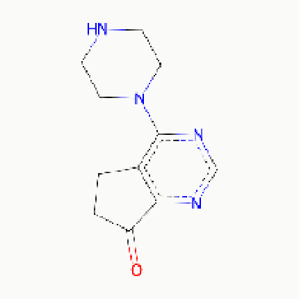 O=C1CCc2c1ncnc2N1CCNCC1